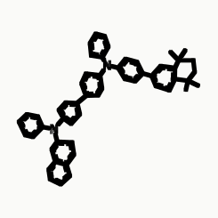 CC1(C)CCC(C)(C)c2cc(-c3ccc(N(c4ccccc4)c4ccc(-c5ccc(N(c6ccccc6)c6ccc7ccccc7c6)cc5)cc4)cc3)ccc21